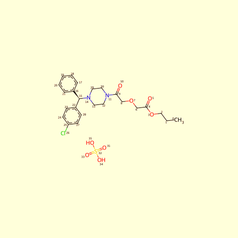 CCCOC(=O)COCC(=O)N1CCN([C@H](c2ccccc2)c2ccc(Cl)cc2)CC1.O=S(=O)(O)O